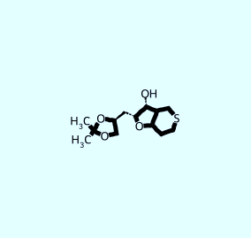 CC1(C)OC[C@H](C[C@H]2OC3CCSCC3[C@H]2O)O1